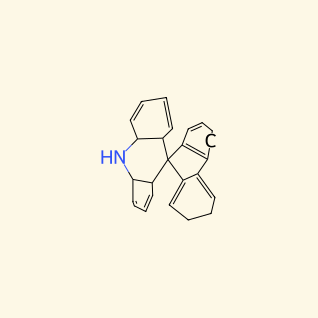 C1=CC2NC3C=CC=CC3C3(C4=CCCC=C4C4=C3C=CCC4)C2C=C1